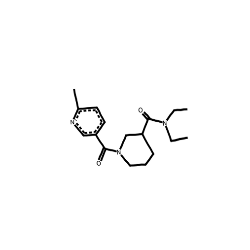 CCN(CC)C(=O)C1CCCN(C(=O)c2ccc(C)nc2)C1